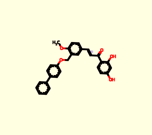 COc1ccc(/C=C/C(=O)c2ccc(O)cc2O)cc1COc1ccc(-c2ccccc2)cc1